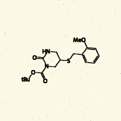 COc1ccccc1CSC1CNC(=O)N(C(=O)OC(C)(C)C)C1